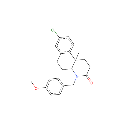 COc1ccc(CN2C(=O)CCC3(C)c4ccc(Cl)cc4CCC23)cc1